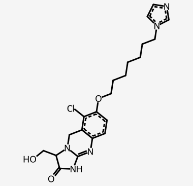 O=C1NC2=Nc3ccc(OCCCCCCCn4ccnc4)c(Cl)c3CN2C1CO